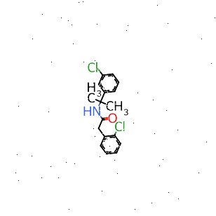 CC(C)(NC(=O)Cc1ccccc1Cl)c1cccc(Cl)c1